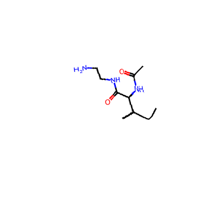 CCC(C)C(NC(C)=O)C(=O)NCCN